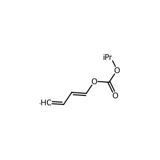 [CH]=CC=COC(=O)OC(C)C